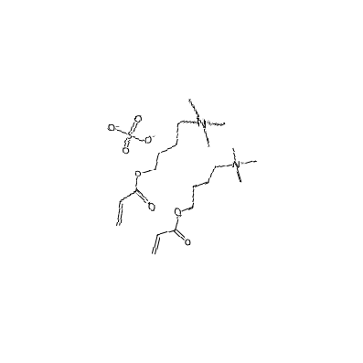 C=CC(=O)OCCCC[N+](C)(C)C.C=CC(=O)OCCCC[N+](C)(C)C.O=S(=O)([O-])[O-]